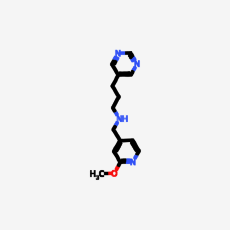 COc1cc(CNCCCc2cncnc2)ccn1